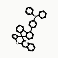 c1ccc(N(c2ccccc2)c2ccc(-c3cccc4c3-c3ccccc3C43c4ccccc4Oc4cc5ccccc5cc43)cc2)cc1